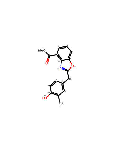 COC(=O)c1cccc2oc(Cc3ccc(O)c(C(C)(C)C)c3)nc12